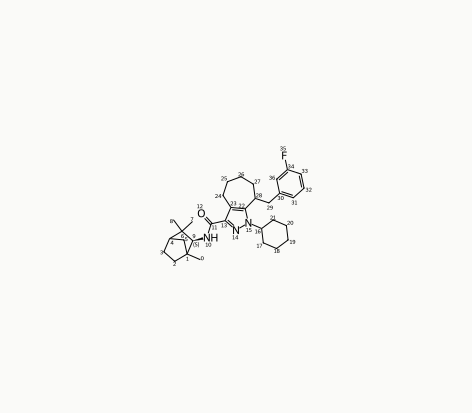 CC12CCC(C1)C(C)(C)[C@H]2NC(=O)c1nn(C2CCCCC2)c2c1CCCCC2Cc1cccc(F)c1